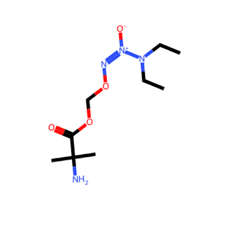 CCN(CC)/[N+]([O-])=N\OCOC(=O)C(C)(C)N